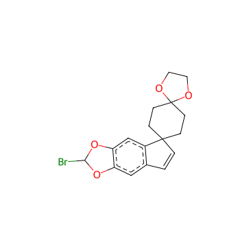 BrC1Oc2cc3c(cc2O1)C1(C=C3)CCC2(CC1)OCCO2